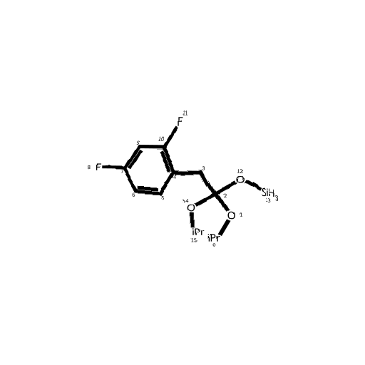 CC(C)OC(Cc1ccc(F)cc1F)(O[SiH3])OC(C)C